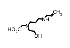 C=CCNCCCN(CCO)CC(=O)O